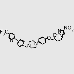 O=[N+]([O-])c1cn2c(n1)OC(COc1ccc(N3CCN(Cc4ccc(-c5ccc(C(F)(F)F)cn5)cc4)CC3)cc1)CC2